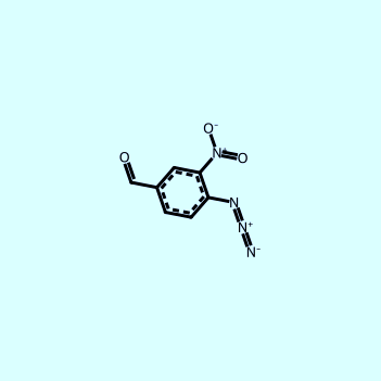 [N-]=[N+]=Nc1ccc(C=O)cc1[N+](=O)[O-]